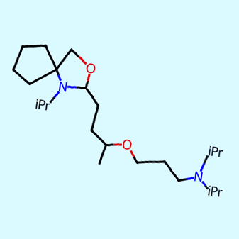 CC(CCC1OCC2(CCCC2)N1C(C)C)OCCCN(C(C)C)C(C)C